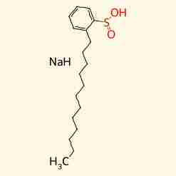 CCCCCCCCCCCCc1ccccc1S(=O)O.[NaH]